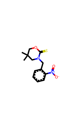 CC1(C)COC(=S)N(Cc2ccccc2[N+](=O)[O-])C1